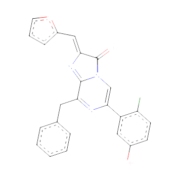 O=C1/C(=C/c2ccco2)N=C2C(Cc3ccccc3)=NC(c3cc(O)ccc3Cl)=CN12